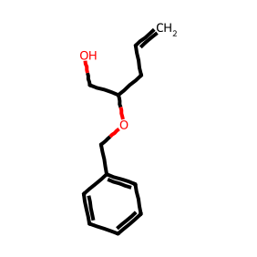 C=CCC(CO)OCc1ccccc1